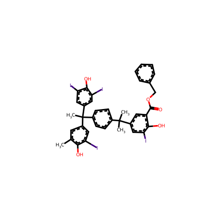 Cc1cc(C(C)(c2ccc(C(C)(C)c3cc(I)c(O)c(C(=O)OCc4ccccc4)c3)cc2)c2cc(I)c(O)c(I)c2)cc(I)c1O